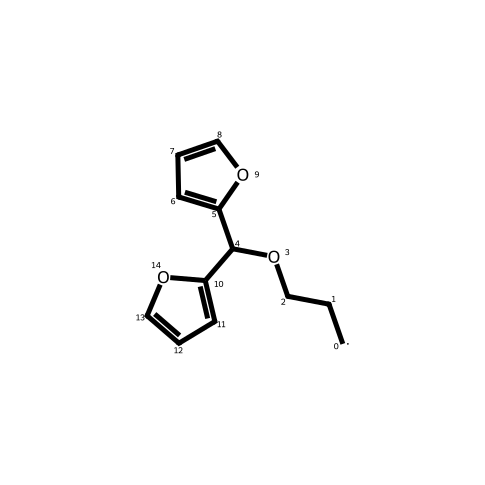 [CH2]CCOC(c1ccco1)c1ccco1